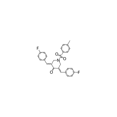 Cc1ccc(S(=O)(=O)N2CC(=Cc3ccc(F)cc3)C(=O)C(=Cc3ccc(F)cc3)C2)cc1